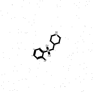 O=S(=O)(CC1CCNCC1)c1ccccc1F